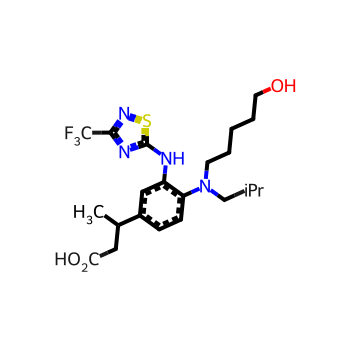 CC(C)CN(CCCCCO)c1ccc(C(C)CC(=O)O)cc1Nc1nc(C(F)(F)F)ns1